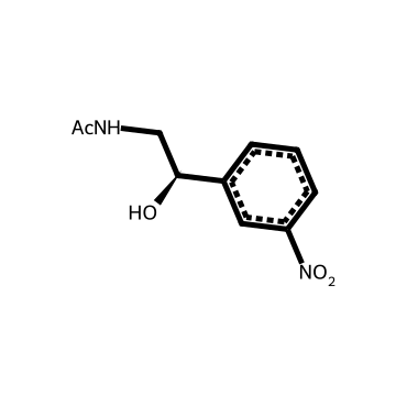 CC(=O)NC[C@H](O)c1cccc([N+](=O)[O-])c1